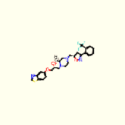 C[C@H]1CN(C[C@H]2CC(c3ccccc3C(F)(F)F)=NO2)CCN1C[C@@H](O)COc1ccc2scnc2c1